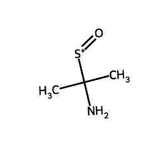 CC(C)(N)[S+]=O